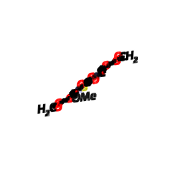 C=CC(=O)OCCCCOc1ccc(/C=C/C(=O)Oc2ccc(SC(=O)/C=C/c3ccc(OCCCCOC(=O)C=C)c(OC)c3)cc2)cc1